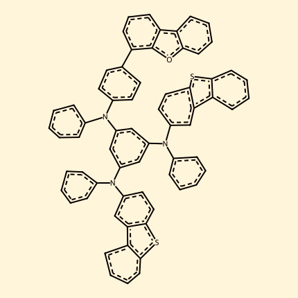 c1ccc(N(c2ccc(-c3cccc4c3oc3ccccc34)cc2)c2cc(N(c3ccccc3)c3ccc4sc5ccccc5c4c3)cc(N(c3ccccc3)c3ccc4sc5ccccc5c4c3)c2)cc1